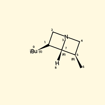 CC[C@H](C)C1CN2C[C@@H](C)[C@H]12